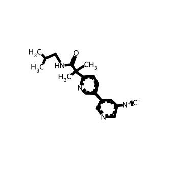 [C-]#[N+]c1cncc(-c2ccc(C(C)(C)C(=O)NCC(C)C)nc2)c1